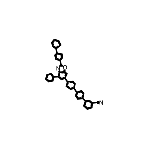 N#Cc1cccc(-c2ccc(-c3ccc(-c4cc(-c5ccccc5)c5nc(-c6ccc(-c7ccccc7)cc6)oc5c4)cc3)cc2)c1